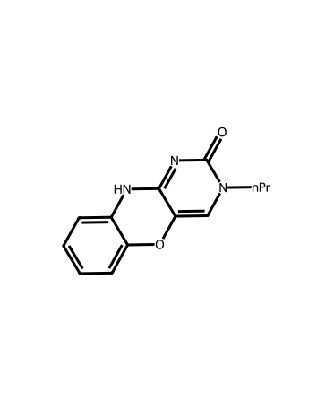 CCCn1cc2c(nc1=O)Nc1ccccc1O2